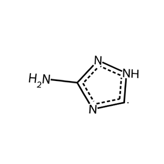 Nc1n[c][nH]n1